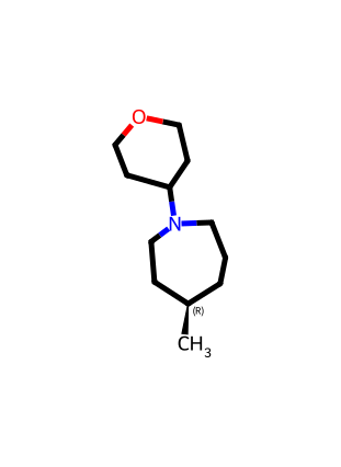 C[C@@H]1CCCN(C2CCOCC2)CC1